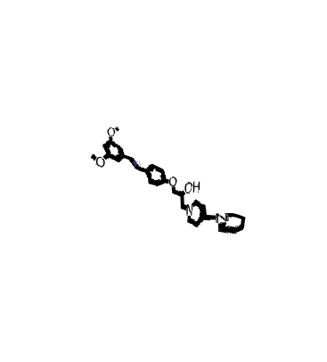 COc1cc(/C=C/c2ccc(OCC(O)CN3CCC(N4CCCCC4)CC3)cc2)cc(OC)c1